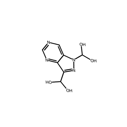 OC(O)c1nn(C(O)O)c2cncnc12